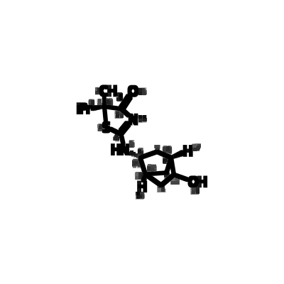 CC(C)[C@]1(C)SC(N[C@@H]2C[C@H]3C[C@@H]2CC3O)=NC1=O